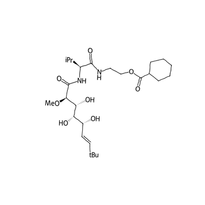 CO[C@@H](C(=O)N[C@H](C(=O)NCCOC(=O)C1CCCCC1)C(C)C)[C@H](O)[C@@H](O)[C@H](O)/C=C/C(C)(C)C